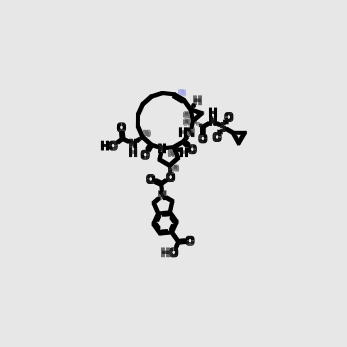 O=C(O)N[C@H]1CCCCC/C=C\[C@@H]2C[C@@]2(C(=O)NS(=O)(=O)C2CC2)NC(=O)[C@@H]2C[C@@H](OC(=O)N3Cc4ccc(C(=O)O)cc4C3)CN2C1=O